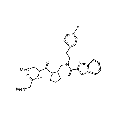 CNCC(=O)NC(COC)C(=O)N1CCCC1CN(CCc1ccc(F)cc1)C(=O)c1cn2ccccc2n1